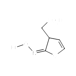 CCON=C1OC=CC1CC(=O)O